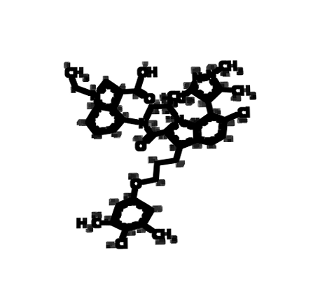 CCn1cc(C(=O)O)c2c(N3C[C@@H](C)n4c(c(CCCOc5cc(C)c(Cl)c(C)c5)c5ccc(Cl)c(-c6c(C)nn(C)c6C)c54)C3=O)cccc21